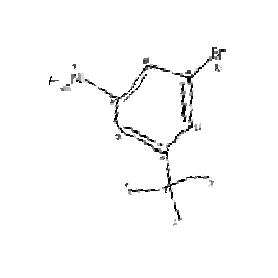 CC(C)(C)c1cc(N)cc(Br)c1